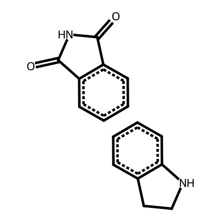 O=C1NC(=O)c2ccccc21.c1ccc2c(c1)CCN2